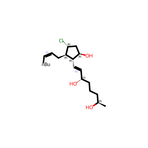 CCCC/C=C\C[C@@H]1[C@@H](/C=C/[C@@H](O)CCC[C@@H](C)O)[C@H](O)C[C@H]1Cl